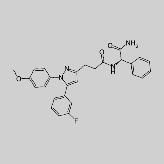 COc1ccc(-n2nc(CCC(=O)N[C@@H](C(N)=O)c3ccccc3)cc2-c2cccc(F)c2)cc1